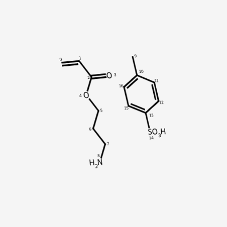 C=CC(=O)OCCCN.Cc1ccc(S(=O)(=O)O)cc1